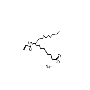 C=CC(=O)NC(CCCCCCCCC)CCCCCCCC(=O)[O-].[Na+]